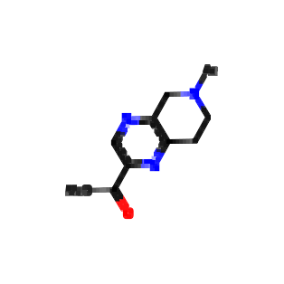 COC(=O)c1cnc2c(n1)CCN(C(C)=O)C2